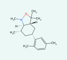 Cc1ccc(C)c([C@H]2C[C@@H]3[C@@H]([C@@H](C)C2)N(C)OC3(C)C)c1